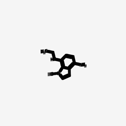 CCNc1ccc(N)c2ccn(O)c12